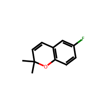 CC1(C)C=Cc2cc(F)c[c]c2O1